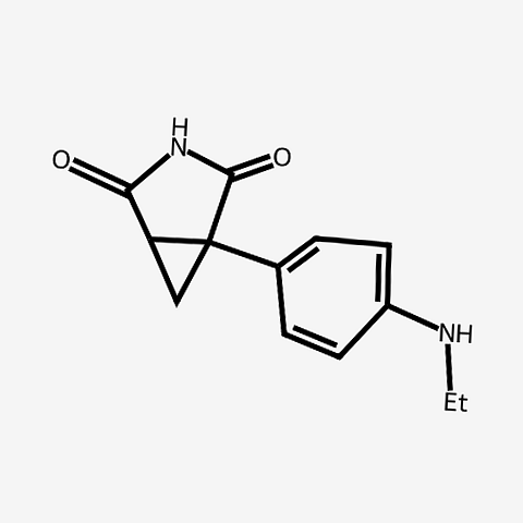 CCNc1ccc(C23CC2C(=O)NC3=O)cc1